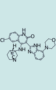 O=c1[nH]c2ccc(Cl)cc2c(N[C@@H]2CN3CCC2CC3)c1-c1nc2cccc(N3CCOCC3)c2[nH]1